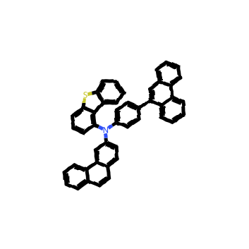 c1ccc2c(c1)ccc1ccc(N(c3ccc(-c4cc5ccccc5c5ccccc45)cc3)c3cccc4sc5ccccc5c34)cc12